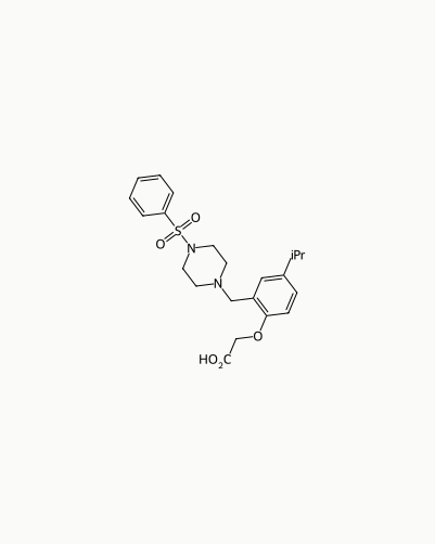 CC(C)c1ccc(OCC(=O)O)c(CN2CCN(S(=O)(=O)c3ccccc3)CC2)c1